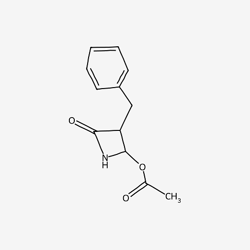 CC(=O)OC1NC(=O)C1Cc1ccccc1